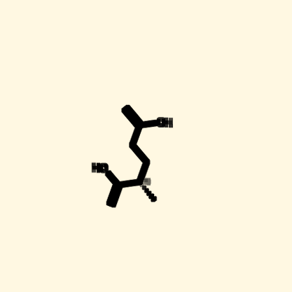 C=C(O)CC[C@H](C)C(=C)O